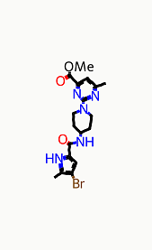 COC(=O)c1cc(C)nc(N2CCC(NC(=O)c3cc(Br)c(C)[nH]3)CC2)n1